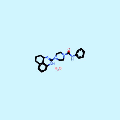 O.O=C(Nc1ccccc1)N1CCN(C2=NC3CCCc4cccc(c43)N2)CC1